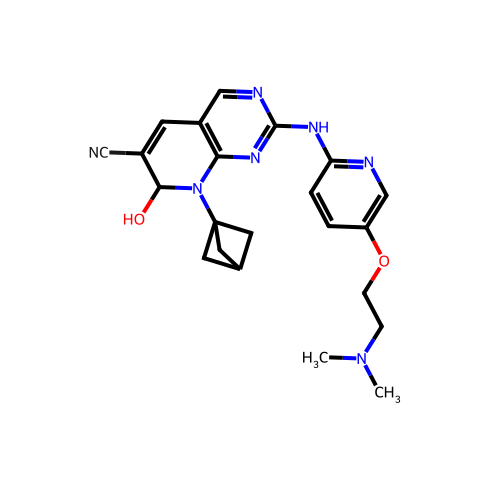 CN(C)CCOc1ccc(Nc2ncc3c(n2)N(C24CC(C2)C4)C(O)C(C#N)=C3)nc1